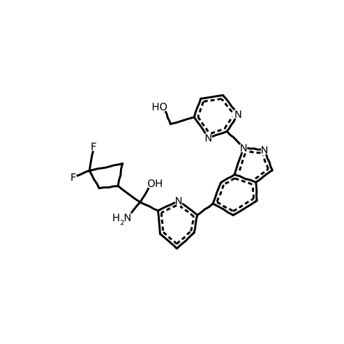 NC(O)(c1cccc(-c2ccc3cnn(-c4nccc(CO)n4)c3c2)n1)C1CC(F)(F)C1